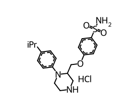 CC(C)c1ccc(N2CCNCC2COc2ccc(S(N)(=O)=O)cc2)cc1.Cl